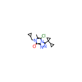 Cc1c(Cl)n2c(C3(C4CC4)CC3)nnc2c(=O)n1CC1CC1